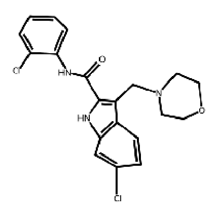 O=C(Nc1ccccc1Cl)c1[nH]c2cc(Cl)ccc2c1CN1CCOCC1